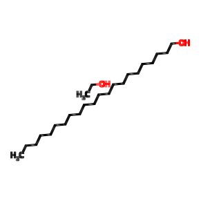 CCCCCCCCCCCCCCCCCCCCCCO.CCO